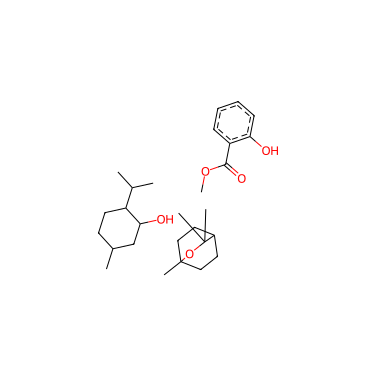 CC12CCC(CC1)C(C)(C)O2.CC1CCC(C(C)C)C(O)C1.COC(=O)c1ccccc1O